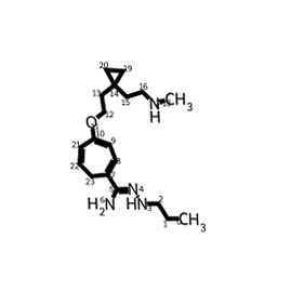 CCCNN=C(N)C1=CC=C(OCCC2(CCNC)CC2)C=CC1